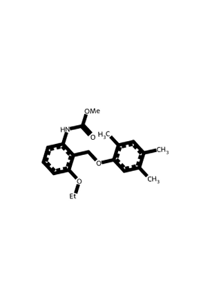 CCOc1cccc(NC(=O)OC)c1COc1cc(C)c(C)cc1C